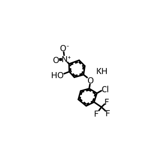 O=[N+]([O-])c1ccc(Oc2cccc(C(F)(F)F)c2Cl)cc1O.[KH]